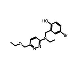 CCOCc1ccc(N(CC)Cc2cc(Br)ccc2O)nn1